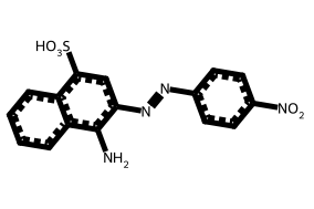 Nc1c(N=Nc2ccc([N+](=O)[O-])cc2)cc(S(=O)(=O)O)c2ccccc12